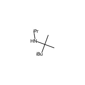 CCC(C)C(C)(C)NC(C)C